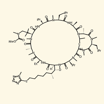 CC[C@@H]1NC(=O)[C@@H]2[C@@H]([C@H](C)CCCCCSc3nnnn3C)ON2C(=O)[C@H](C(C)C)N(C)C(=O)[C@@H]2CC(C)N(C(=O)[C@H](C)NC(=O)[C@H](CC(C)C)N(C)C(=O)[C@H](C(C)C)NC(=O)[C@H](C(C)(C)CN(C)C(=O)OC)N(C)C(=O)[C@@H](C)N(C)C1=O)[C@H](C)C(=O)N(C)[C@@H](CC(C)C)C(=O)N2C